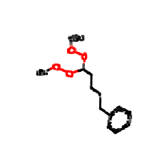 CC(C)(C)OOC(CCCCc1ccccc1)OOC(C)(C)C